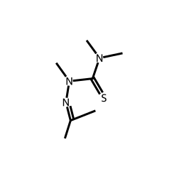 CC(C)=NN(C)C(=S)N(C)C